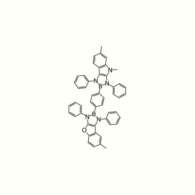 Cc1ccc2oc3c(c2c1)N(c1ccccc1)B(c1ccc(B2N(c4ccccc4)c4c(n(C)c5cc(C)ccc45)N2c2ccccc2)cc1)N3c1ccccc1